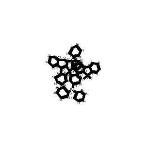 CC1(C)c2ccccc2-c2cc(N(c3ccccc3)c3cc4ccccc4c4c3C3(c5ccccc5-c5ccc(N(c6ccccc6)c6ccccc6)cc53)c3ccccc3-4)ccc21